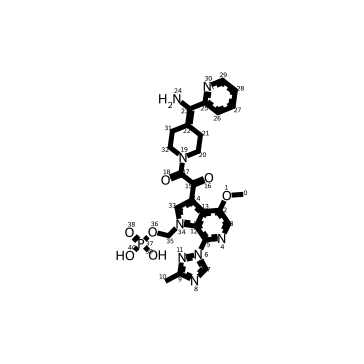 COc1cnc(-n2cnc(C)n2)c2c1c(C(=O)C(=O)N1CCC(=C(N)c3ccccn3)CC1)cn2COP(=O)(O)O